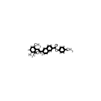 CC1=C(C=Cc2ccc3cc(C(=O)Oc4ccc(C)cc4)ccc3c2)C(C)(C)CCC1